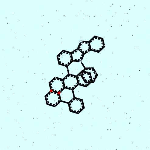 c1ccc(-c2ccccc2-c2c3ccccc3c(-c3cccc4c5oc6ccccc6c5n(-c5ccccc5)c34)c3ccccc23)cc1